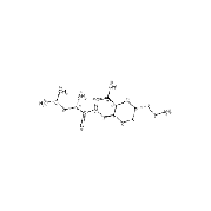 BCC[C@@H]1CC[C@@H](CNC(=O)[C@@H](N)CC(C)C)[C@@H](C(=O)O)C1